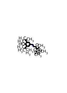 CCC(C)(C(=O)/C=C/c1cc(C(C)(C)C)c(O)c(C(C)(C)C)c1)P(=O)(OC)OC